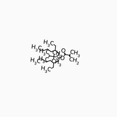 C=C(C)C(=O)O[Si](CC(CC)CCCC)(CC(CC)CCCC)C(C)(C)C(C)C